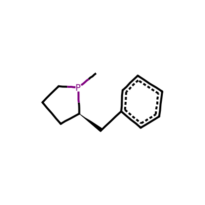 CP1CCC[C@@H]1Cc1ccccc1